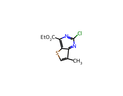 CCOC(=O)c1nc(Cl)nc2c(C)csc12